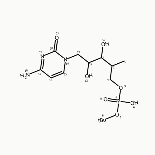 CC(COP(=O)(O)OC(C)(C)C)C(O)C(O)Cn1ccc(N)nc1=O